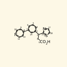 O=C(O)CC(c1cccc(-c2ccncc2)c1)c1nccs1